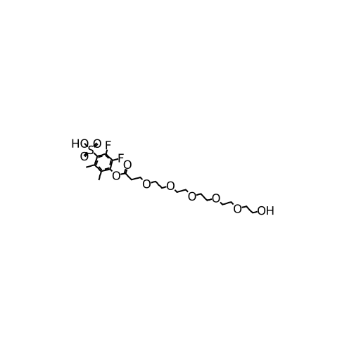 Cc1c(C)c(S(=O)(=O)O)c(F)c(F)c1OC(=O)CCOCCOCCOCCOCCOCCO